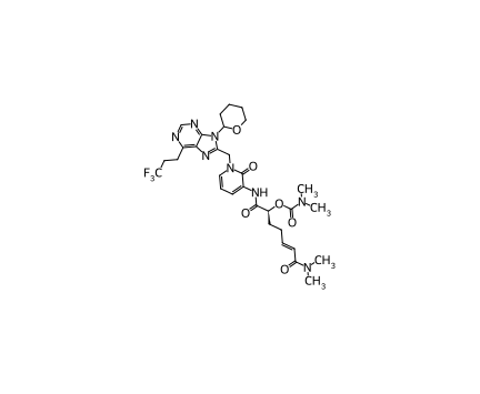 CN(C)C(=O)/C=C/CC[C@H](OC(=O)N(C)C)C(=O)Nc1cccn(Cc2nc3c(CCC(F)(F)F)ncnc3n2C2CCCCO2)c1=O